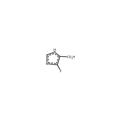 O=C(O)c1[nH]cnc1F